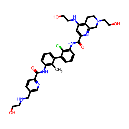 Cc1c(NC(=O)c2ccc(CNCCO)cn2)cccc1-c1cccc(NC(=O)c2cc(NCCO)c3c(n2)CN(CCO)CC3)c1Cl